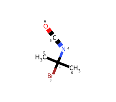 CC(C)(Br)N=C=O